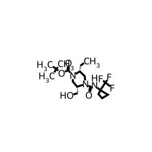 CC[C@@H]1CN(C(=O)NC2(C(F)(F)F)CCC2)[C@H](CO)CN1C(=O)OC(C)(C)C